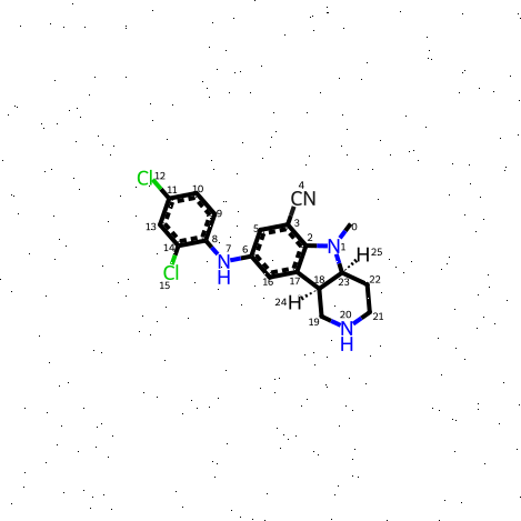 CN1c2c(C#N)cc(Nc3ccc(Cl)cc3Cl)cc2[C@@H]2CNCC[C@@H]21